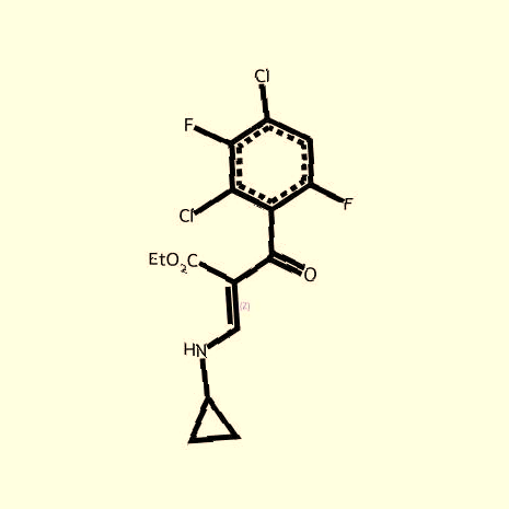 CCOC(=O)/C(=C\NC1CC1)C(=O)c1c(F)cc(Cl)c(F)c1Cl